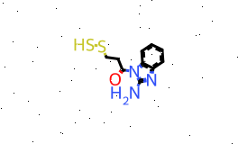 Nc1nc2ccccc2n1C(=O)CCSS